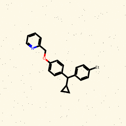 CCc1ccc(C(c2ccc(OCc3ccccn3)cc2)C2CC2)cc1